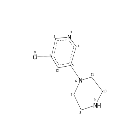 Clc1cncc(N2CCNCC2)c1